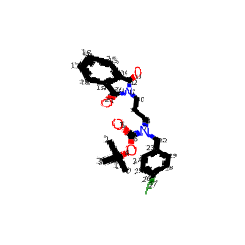 CC(C)(C)OC(=O)N(CCCN1C(=O)c2ccccc2C1=O)Cc1ccc(F)cc1